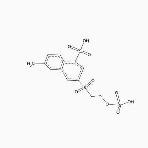 Nc1ccc2c(S(=O)(=O)O)cc(S(=O)(=O)CCOS(=O)(=O)O)cc2c1